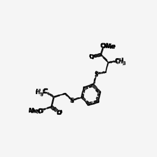 COC(=O)C(C)CSc1cccc(SCC(C)C(=O)OC)c1